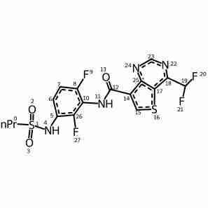 CCCS(=O)(=O)Nc1ccc(F)c(NC(=O)c2csc3c(C(F)F)ncnc23)c1F